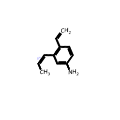 C=Cc1ccc(N)cc1/C=C\C